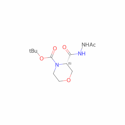 CC(=O)NNC(=O)[C@@H]1COCCN1C(=O)OC(C)(C)C